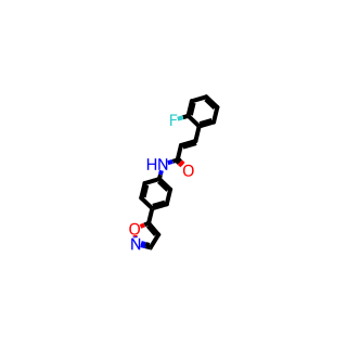 O=C(C=Cc1ccccc1F)Nc1ccc(-c2ccno2)cc1